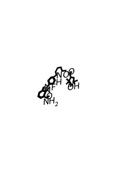 CC1(C)CC(C(=O)OCC2CCCC(c3ccc(-n4cc5cccc(C(N)=O)c5n4)c(F)c3)N2)C(C)(C)N1O